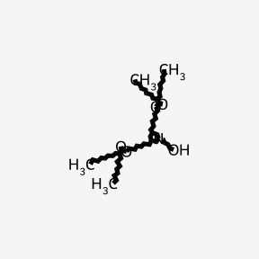 CCCCCCCCC(CCCCCCCC)C(=O)OCCCCCCC1CC(CCCCCCOC(=O)C(CCCCCCCC)CCCCCCCC)CN(CCCCO)C1